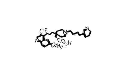 COc1ccc2ncc(Cl)c([C@@H](F)CCC3(CC(=O)O)CCN(CCCCc4cccnc4)CC3)c2c1